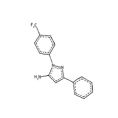 Nc1cc(-c2ccccc2)nn1-c1ccc(C(F)(F)F)cc1